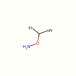 CCCC(CC)ON